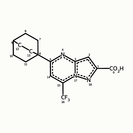 O=C(O)c1cc2nc(C34CCC(CC3)CC4)cc(C(F)(F)F)n2n1